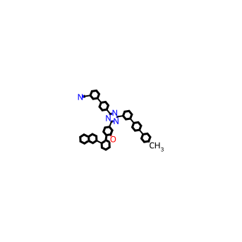 Cc1ccc(-c2ccc(-c3cccc(-c4nc(-c5ccc(-c6cccc(C#N)c6)cc5)nc(-c5ccc6c(c5)oc5cccc(-c7ccc8ccccc8c7)c56)n4)c3)cc2)cc1